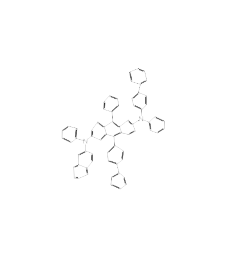 c1ccc(-c2ccc(-c3c4ccc(N(c5ccccc5)c5ccc(-c6ccccc6)cc5)cc4c(-c4ccccc4)c4ccc(N(c5ccccc5)c5ccc6ccccc6c5)cc34)cc2)cc1